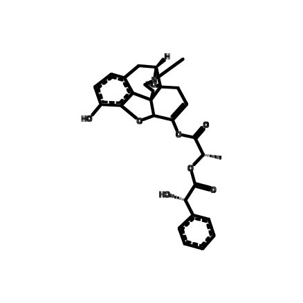 C[C@H](OC(=O)[C@@H](O)c1ccccc1)C(=O)OC1=CC[C@@]2(O)[C@H]3Cc4ccc(O)c5c4C2(CCN3C)C1O5